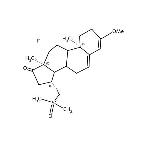 COC1=CC2=CCC3C(CC[C@]4(C)C(=O)C[C@@H](C[S+](C)(C)=O)C34)[C@@]2(C)CC1.[I-]